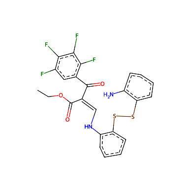 CCOC(=O)/C(=C\Nc1ccccc1SSc1ccccc1N)C(=O)c1cc(F)c(F)c(F)c1F